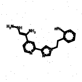 CCCc1ccccc1CCn1cnc(-c2cc(/C(N)=C/NN)ccn2)c1